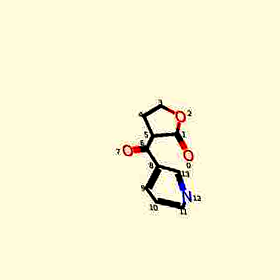 O=C1OCCC1C(=O)c1cccnc1